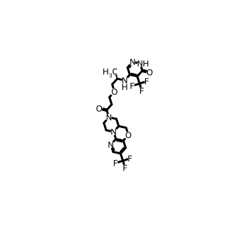 C[C@H](COCCC(=O)N1CCN2c3ncc(C(F)(F)F)cc3OCC2C1)Nc1cn[nH]c(=O)c1C(F)(F)F